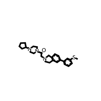 CSc1cccc(-c2ccc3c(c2)CCN(CC(=O)N2CCN(C4CCCC4)CC2)C3)c1